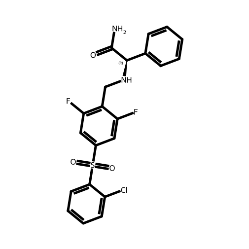 NC(=O)[C@H](NCc1c(F)cc(S(=O)(=O)c2ccccc2Cl)cc1F)c1ccccc1